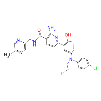 Cc1cnc(CNC(=O)c2ccc(-c3cc(N(CCF)c4ccc(Cl)cc4)ccc3O)nc2N)cn1